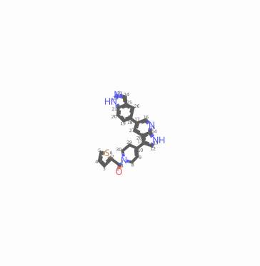 O=C(c1cccs1)N1CC=C(c2c[nH]c3ncc(-c4ccc5[nH]ncc5c4)cc23)CC1